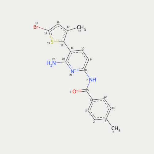 Cc1ccc(C(=O)Nc2ccc(-c3sc(Br)cc3C)c(N)n2)cc1